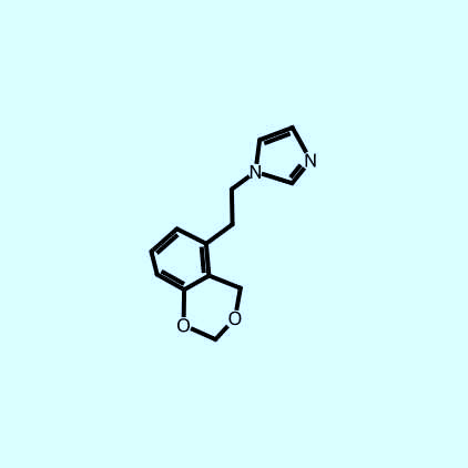 c1cc(CCn2ccnc2)c2c(c1)OCOC2